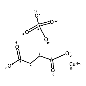 O=C([O-])CCC(=O)[O-].O=S(=O)([O-])[O-].[Cu+4]